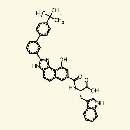 CC(C)(C)c1ccc(-c2cccc(-c3nc4c(ccc5cc(C(=O)N[C@@H](Cc6c[nH]c7ccccc67)C(=O)O)cc(O)c54)[nH]3)c2)cc1